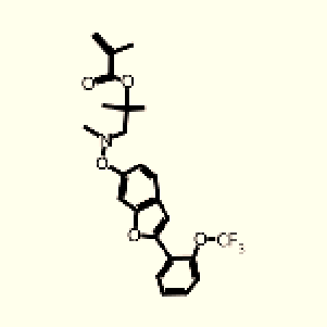 C=C(C)C(=O)OC(C)(C)CN(C)Oc1ccc2cc(-c3ccccc3OC(F)(F)F)oc2c1